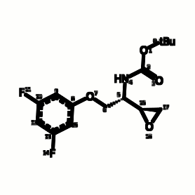 CC(C)(C)OC(=O)N[C@@H](COc1cc(F)cc(F)c1)[C@H]1CO1